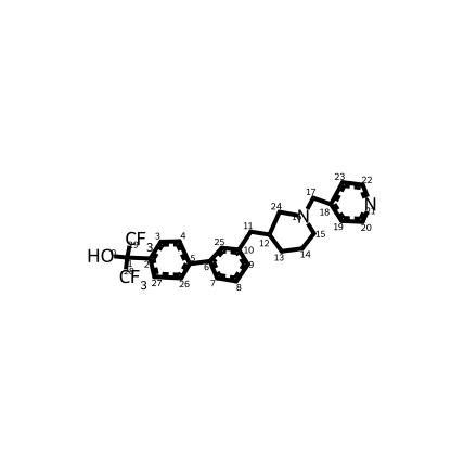 OC(c1ccc(-c2cccc(CC3CCCN(Cc4ccncc4)C3)c2)cc1)(C(F)(F)F)C(F)(F)F